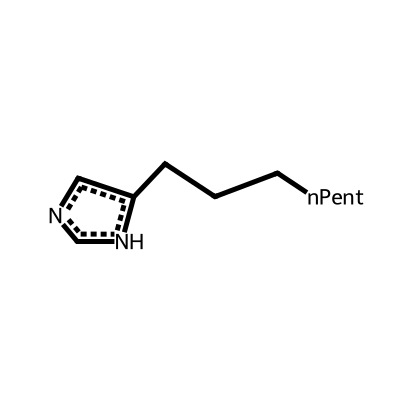 [CH2]CCCCCCCc1cnc[nH]1